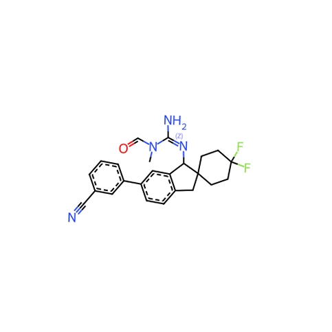 CN(C=O)/C(N)=N\C1c2cc(-c3cccc(C#N)c3)ccc2CC12CCC(F)(F)CC2